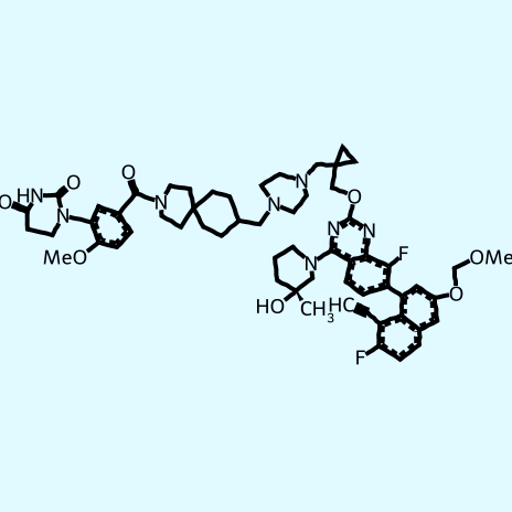 C#Cc1c(F)ccc2cc(OCOC)cc(-c3ccc4c(N5CCC[C@@](C)(O)C5)nc(OCC5(CN6CCN(CC7CCC8(CC7)CCN(C(=O)c7ccc(OC)c(N9CCC(=O)NC9=O)c7)CC8)CC6)CC5)nc4c3F)c12